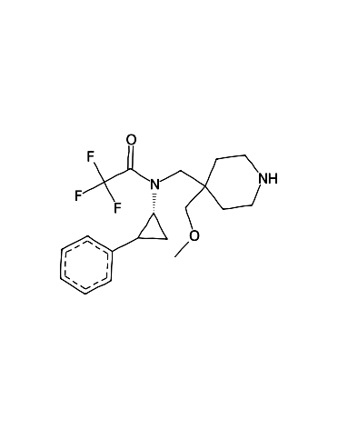 COCC1(CN(C(=O)C(F)(F)F)[C@@H]2CC2c2ccccc2)CCNCC1